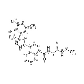 O=C(CNC(=O)c1ccc(C2=NOC(c3cc(C(F)(F)F)cc(Cl)c3F)(C(F)(F)F)C2)c2ccccc12)NCC(F)(F)F